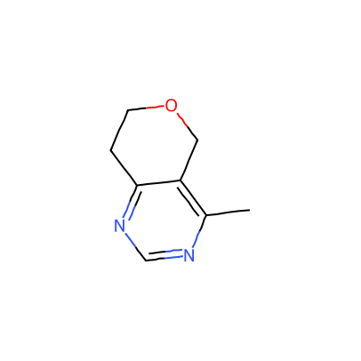 Cc1ncnc2c1COCC2